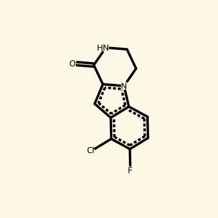 O=C1NCCn2c1cc1c(Cl)c(F)ccc12